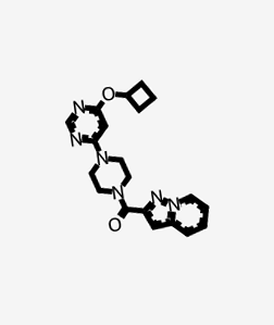 O=C(c1cc2ccccn2n1)N1CCN(c2cc(OC3CCC3)ncn2)CC1